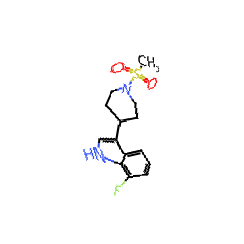 CS(=O)(=O)N1CCC(c2c[nH]c3c(F)cccc23)CC1